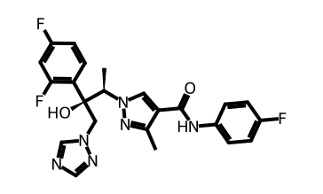 Cc1nn([C@H](C)[C@](O)(Cn2cncn2)c2ccc(F)cc2F)cc1C(=O)Nc1ccc(F)cc1